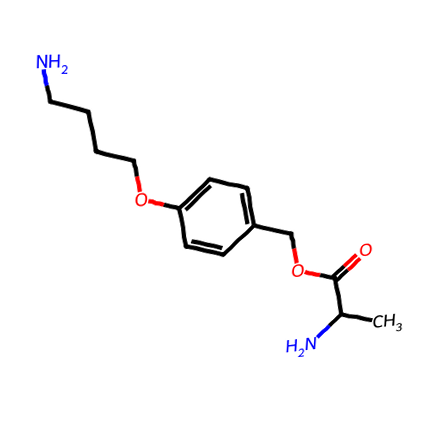 CC(N)C(=O)OCc1ccc(OCCCCN)cc1